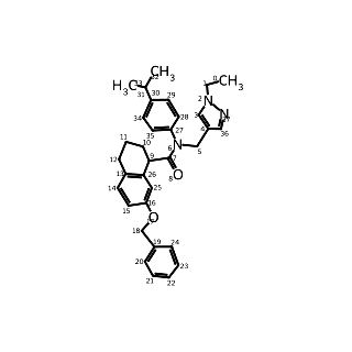 CCn1cc(CN(C(=O)C2CCCc3ccc(OCc4ccccc4)cc32)c2ccc(C(C)C)cc2)cn1